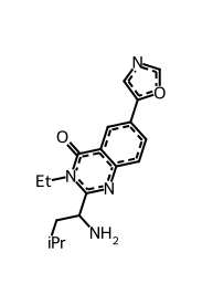 CCn1c(C(N)CC(C)C)nc2ccc(-c3cnco3)cc2c1=O